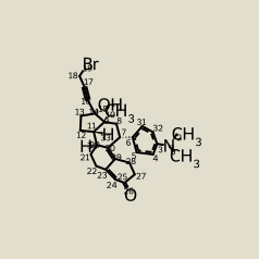 CN(C)c1ccc([C@H]2C[C@@]3(C)[C@@H](CC[C@@]3(O)C#CCBr)[C@@H]3CCC4=CC(=O)CCC4=C32)cc1